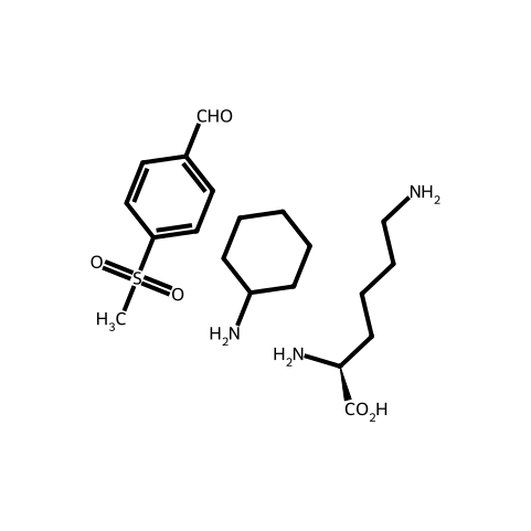 CS(=O)(=O)c1ccc(C=O)cc1.NC1CCCCC1.NCCCC[C@H](N)C(=O)O